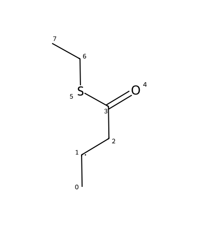 C[CH]CC(=O)SCC